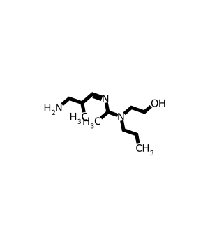 CCCN(CCO)C(C)/N=C\C(C)CN